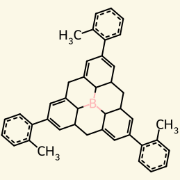 Cc1ccccc1C1=CC2CC3=CC(c4ccccc4C)=CC4CC5C=C(c6ccccc6C)C=C6CC(=C1)C2B(C65)C34